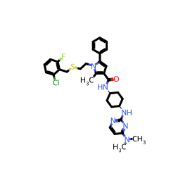 Cc1c(C(=O)N[C@H]2CC[C@@H](Nc3nccc(N(C)C)n3)CC2)cc(-c2ccccc2)n1CCSCc1c(F)cccc1Cl